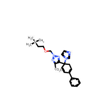 CCOC(=O)c1nn(COCC[Si](C)(C)C)nc1C1(n2ccnc2)C=CC(c2ccccc2)=CC1